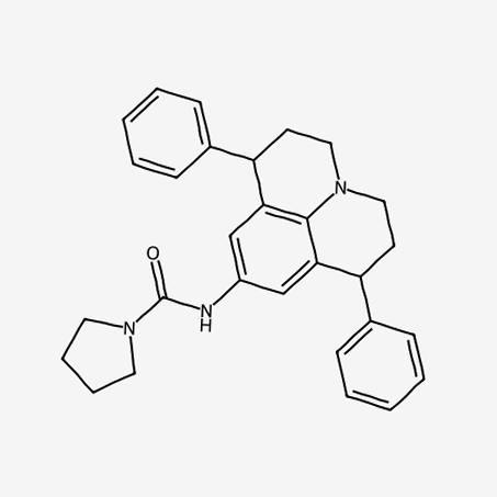 O=C(Nc1cc2c3c(c1)C(c1ccccc1)CCN3CCC2c1ccccc1)N1CCCC1